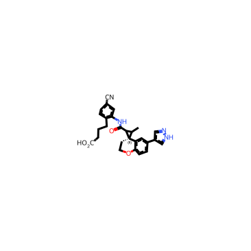 CC1C(C(=O)Nc2cc(C#N)ccc2CCCC(=O)O)[C@@]12CCOc1ccc(-c3cn[nH]c3)cc12